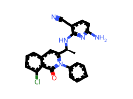 C[C@H](Nc1nc(N)ccc1C#N)c1cc2cccc(Cl)c2c(=O)n1-c1ccccc1